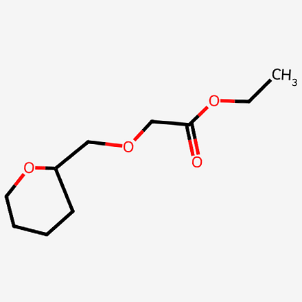 CCOC(=O)COCC1CCCCO1